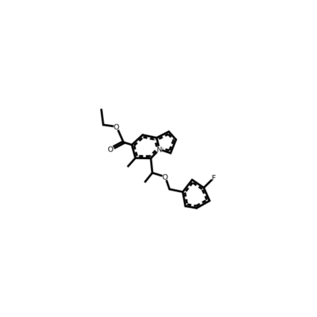 CCOC(=O)c1cc2cccn2c(C(C)OCc2cccc(F)c2)c1C